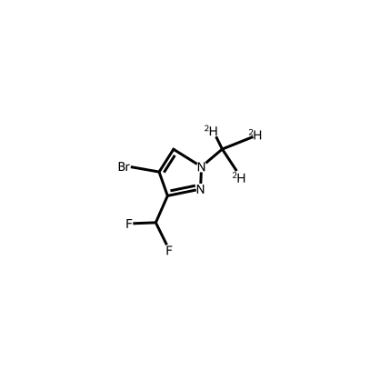 [2H]C([2H])([2H])n1cc(Br)c(C(F)F)n1